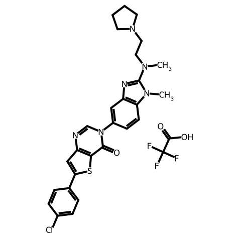 CN(CCN1CCCC1)c1nc2cc(-n3cnc4cc(-c5ccc(Cl)cc5)sc4c3=O)ccc2n1C.O=C(O)C(F)(F)F